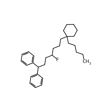 CCCCCC1(CCCC(F)CCC(c2ccccc2)c2ccccc2)CCCCC1